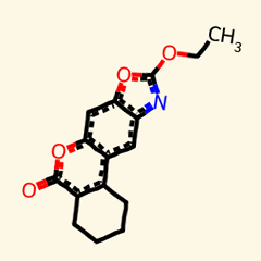 CCOc1nc2cc3c4c(c(=O)oc3cc2o1)CCCC4